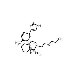 Cc1ccc(-c2cn[nH]c2)cc1[C@@]12CCCC[C@H]1[C@@H](C)N(CCOCCO)CC2